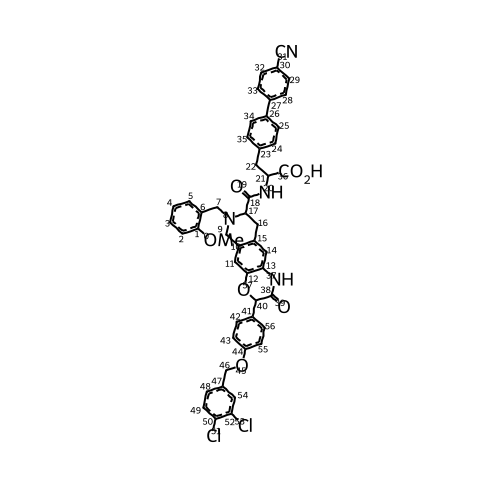 COc1ccccc1CN1Cc2cc3c(cc2CC1C(=O)NC(Cc1ccc(-c2ccc(C#N)cc2)cc1)C(=O)O)NC(=O)C(c1ccc(OCc2ccc(Cl)c(Cl)c2)cc1)O3